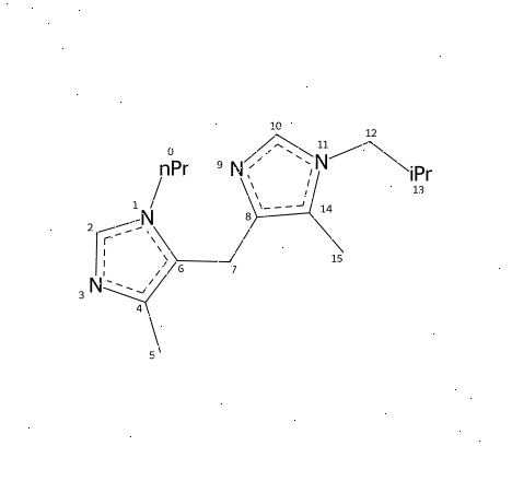 CCCn1cnc(C)c1Cc1ncn(CC(C)C)c1C